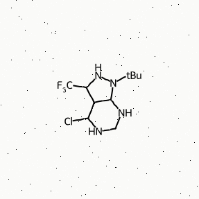 CC(C)(C)N1NC(C(F)(F)F)C2C(Cl)NCNC21